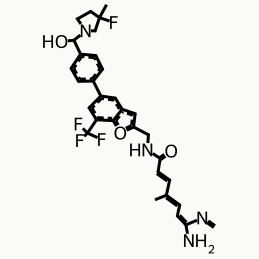 C=N\C(N)=C/C=C(C)/C=C/C(=O)NCc1cc2cc(-c3ccc(C(O)N4CCC(C)(F)C4)cc3)cc(C(F)(F)F)c2o1